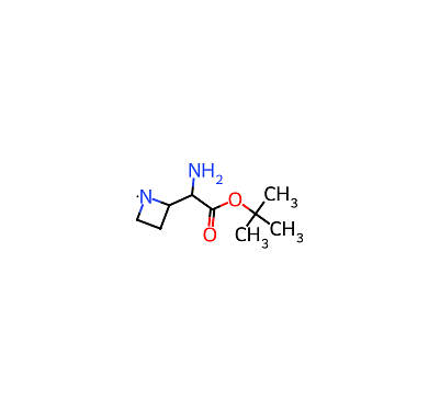 CC(C)(C)OC(=O)C(N)C1CC[N]1